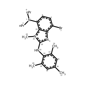 CCCN(CCC)c1ccc(Br)c2nc(Nc3c(C)cc(C)cc3C)n(C)c12